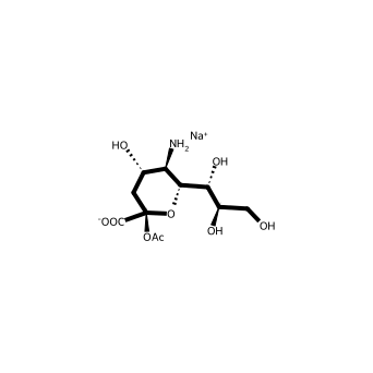 CC(=O)O[C@@]1(C(=O)[O-])C[C@H](O)[C@@H](N)[C@H]([C@H](O)[C@H](O)CO)O1.[Na+]